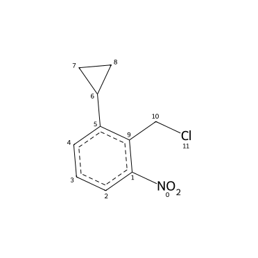 O=[N+]([O-])c1cccc(C2CC2)c1CCl